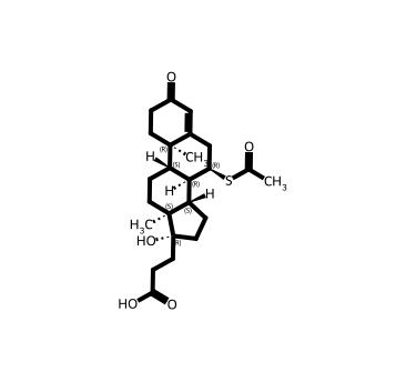 CC(=O)S[C@@H]1CC2=CC(=O)CC[C@]2(C)[C@H]2CC[C@@]3(C)[C@@H](CC[C@@]3(O)CCC(=O)O)[C@H]12